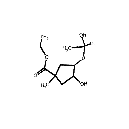 CCOC(=O)C1(C)CC(O)C(OC(C)(C)O)C1